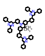 CC1(C)c2cc(-c3cccc(-c4cc(-c5ccccc5)nc(-c5ccccc5)n4)c3)ccc2N(c2cccc(-c3cc(-c4ccccc4)nc(-c4ccccc4)n3)c2)c2ccc(-c3cccc(-c4cc(-c5ccccc5)nc(-c5ccccc5)n4)c3)cc21